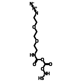 [N-]=[N+]=NCCOCCOCCNC(=O)OC(=O)ONS